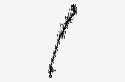 Cc1c(NC(=O)c2nc(NC(=O)CCNC(=O)c3cc(NC(=O)c4nccn4C)cn3C)cn2C)c[nH]c1C(=O)NC1CC(C(=O)Nc2cn(C)c(C(=O)NCCOCCOCCOCCOCCOCCOCCOCCOCCOc3ccc(NC(=O)OCc4ccccc4)cc3)n2)C1